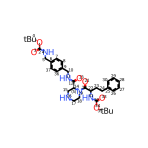 CC(C)(C)OC(=O)NCc1ccc(CNC(=O)[C@@H]2CNCCN2C(=O)C(CCc2ccccc2)NC(=O)OC(C)(C)C)cc1